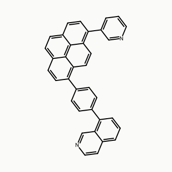 c1cncc(-c2ccc3ccc4ccc(-c5ccc(-c6cccc7ccncc67)cc5)c5ccc2c3c45)c1